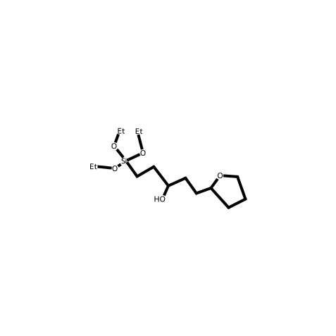 CCO[Si](CCC(O)CCC1CCCO1)(OCC)OCC